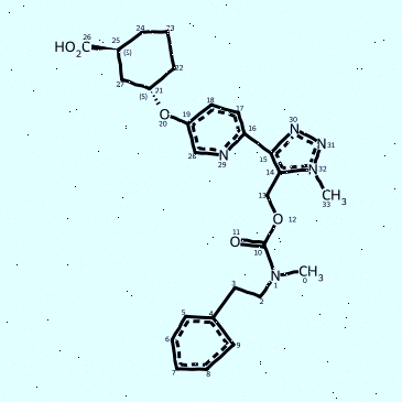 CN(CCc1ccccc1)C(=O)OCc1c(-c2ccc(O[C@H]3CCC[C@H](C(=O)O)C3)cn2)nnn1C